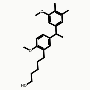 COc1ccc(C(C)c2cc(C)c(C)c(OC)c2)cc1CCCCCO